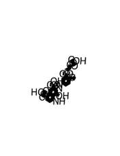 CNc1ccc(S(=O)(=O)O)c2cc(S(=O)(=O)O)c(/N=N/c3ccc(OC)c(S(=O)(=O)CCOS(=O)(=O)O)c3)c(O)c12